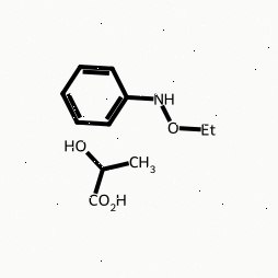 CC(O)C(=O)O.CCONc1ccccc1